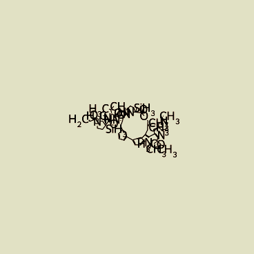 C=CC(=O)N1CC[C@]([SiH3])(C(=O)N(C)[C@H](C(=O)N[C@H]2Cc3cccc(c3)-c3ccc4c(c3)c(c(-c3cc5c(nc3[C@H](C)OC)CCN(C)C5)n4CC)CC(C)(C)COC(=O)[C@@]3([SiH3])CCCN(N3)C2=O)C(C)C)C1